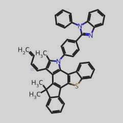 C=C/C=C\c1c(C)n(-c2ccc(-c3nc4ccccc4n3-c3ccccc3)cc2)c2c1c1c(c3sc4ccccc4c32)-c2ccccc2C1(C)C